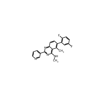 CNc1nc(-c2cccnc2)nc2ccc(-c3cc(F)ccc3F)c(C)c12